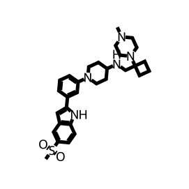 CN1CCN(C2(CNC3CCN(c4cccc(-c5cc6cc(S(C)(=O)=O)ccc6[nH]5)c4)CC3)CCC2)CC1